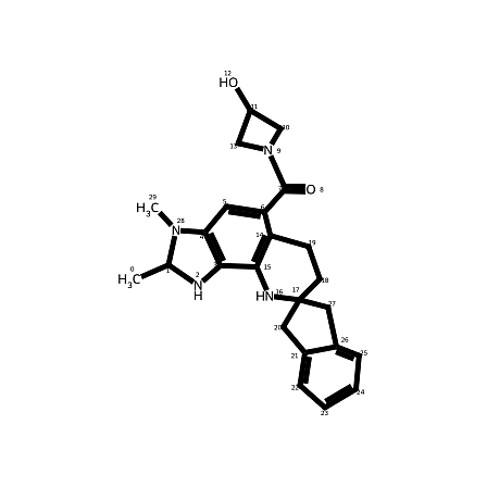 CC1Nc2c(cc(C(=O)N3CC(O)C3)c3c2NC2(CC3)Cc3ccccc3C2)N1C